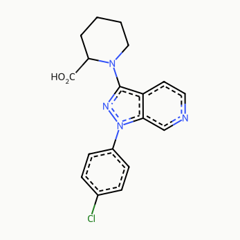 O=C(O)C1CCCCN1c1nn(-c2ccc(Cl)cc2)c2cnccc12